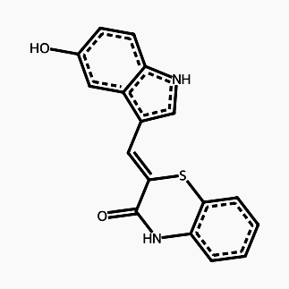 O=C1Nc2ccccc2SC1=Cc1c[nH]c2ccc(O)cc12